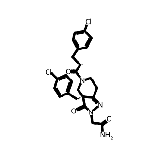 NC(=O)CN1N=C2CCN(C(=O)[CH]Cc3ccc(Cl)cc3)C[C@]2(Cc2ccc(Cl)cc2)C1=O